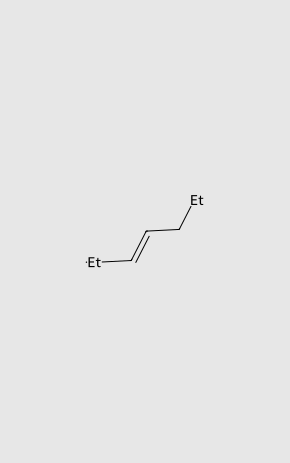 [CH2]CCC=C[CH]C